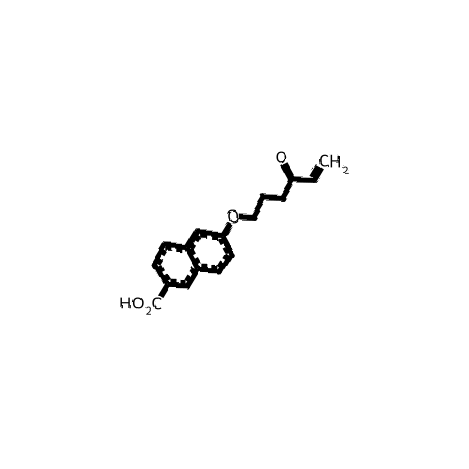 C=CC(=O)CCCOc1ccc2cc(C(=O)O)ccc2c1